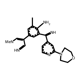 CN/C=C(\C=N)c1cc(C)c(N)c(C(=N)c2ccnc(N3CCOCC3)c2)c1